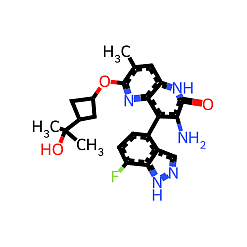 Cc1cc2[nH]c(=O)c(N)c(-c3ccc(F)c4[nH]ncc34)c2nc1OC1CC(C(C)(C)O)C1